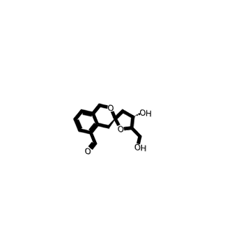 O=Cc1cccc2c1C[C@]1(C[C@H](O)C(CO)O1)OC2